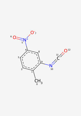 Cc1ccc([N+](=O)[O-])cc1N=C=O